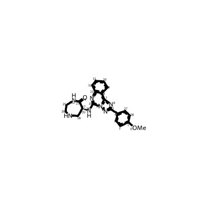 COc1ccc(-c2nc3c4ccccc4nc(N[C@H]4CNCCNC4=O)n3n2)cc1